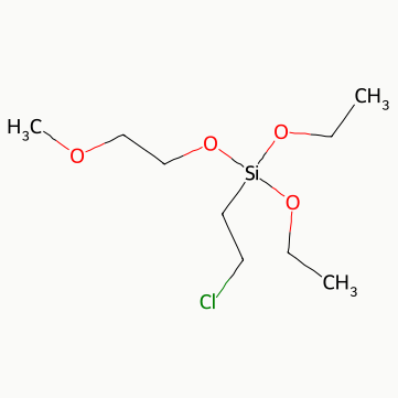 CCO[Si](CCCl)(OCC)OCCOC